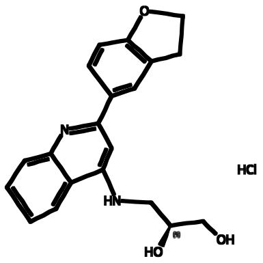 Cl.OC[C@@H](O)CNc1cc(-c2ccc3c(c2)CCO3)nc2ccccc12